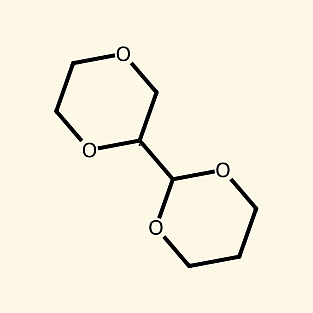 C1COC([C]2COCCO2)OC1